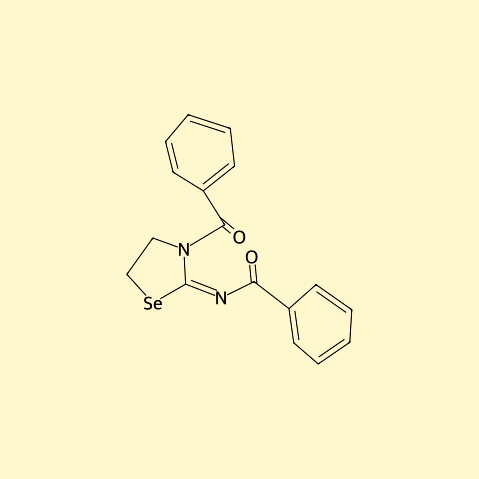 O=C(/N=C1/[Se]CCN1C(=O)c1ccccc1)c1ccccc1